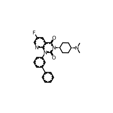 CN(C)[C@H]1CC[C@@H](n2c(=O)c3cc(F)cnc3n(-c3cccc(-c4ccccc4)c3)c2=O)CC1